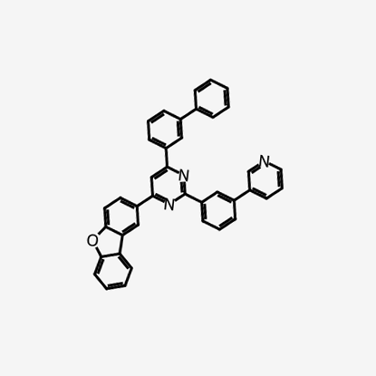 c1ccc(-c2cccc(-c3cc(-c4ccc5oc6ccccc6c5c4)nc(-c4cccc(-c5cccnc5)c4)n3)c2)cc1